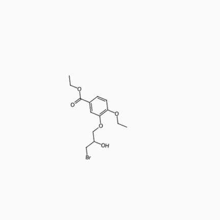 CCOC(=O)c1ccc(OCC)c(OCC(O)CBr)c1